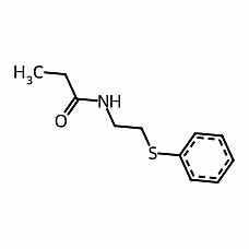 CCC(=O)NCCSc1ccccc1